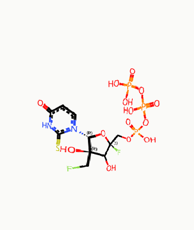 O=c1ccn([C@@H]2O[C@](F)(COP(=O)(O)OP(=O)(O)OP(=O)(O)O)C(O)[C@]2(O)CF)c(=S)[nH]1